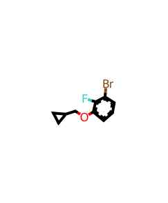 Fc1c(Br)cccc1OCC1CC1